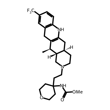 COC(=O)NC1(CCN2CC[C@@H]3CC4=C(Cc5cc(C(F)(F)F)ccc5N4)[C@H](C)[C@H]3C2)CCOCC1